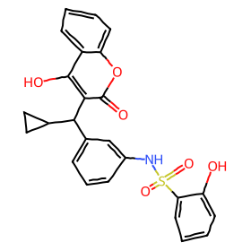 O=c1oc2ccccc2c(O)c1C(c1cccc(NS(=O)(=O)c2ccccc2O)c1)C1CC1